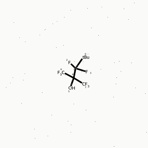 CC(C)(C)C(F)(F)C(O)(C(F)(F)F)C(F)(F)F